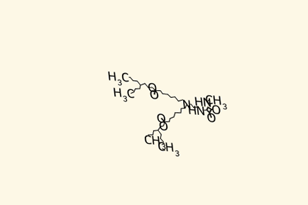 CCCCC(CCCC)CCOC(=O)CCCCCCCN(CCCCCCCC(=O)OCC(CCCC)CCCC)CCCNc1c(NC)c(=O)c1=O